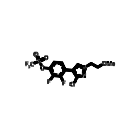 COCCn1cc(-c2ccc(OS(=O)(=O)C(F)(F)F)c(F)c2F)c(Cl)n1